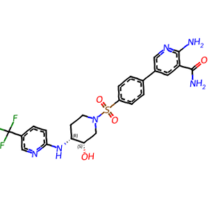 NC(=O)c1cc(-c2ccc(S(=O)(=O)N3CC[C@@H](Nc4ccc(C(F)(F)F)cn4)[C@@H](O)C3)cc2)cnc1N